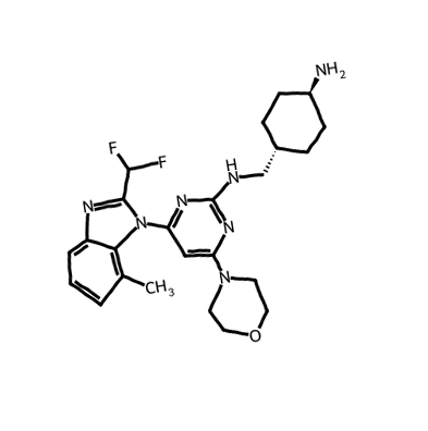 Cc1cccc2nc(C(F)F)n(-c3cc(N4CCOCC4)nc(NC[C@H]4CC[C@H](N)CC4)n3)c12